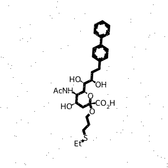 CCSCCCO[C@]1(C(=O)O)C[C@H](O)[C@@H](NC(C)=O)[C@H]([C@H](O)[C@H](O)CCc2ccc(-c3ccccc3)cc2)O1